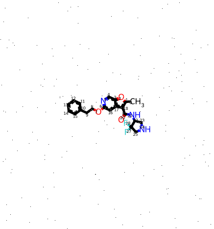 Cc1oc2cnc(OCCc3ccccc3)cc2c1C(=O)NC1CNCC1(F)F